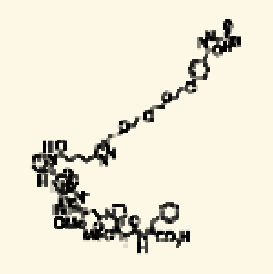 CC[C@H](C)[C@@H]([C@@H](CC(=O)N1CCC[C@H]1[C@H](OC)[C@@H](C)C(=O)N[C@@H](Cc1ccccc1)C(=O)O)OC)N(C)C(=O)[C@@H](NC(=O)[C@@H]1[C@H]2CC[C@H](C2)N1C(=O)CCCc1cn(CCOCCOCCOCCOc2ccc(-c3nnc([SH](=O)=O)o3)cc2)nn1)C(C)C